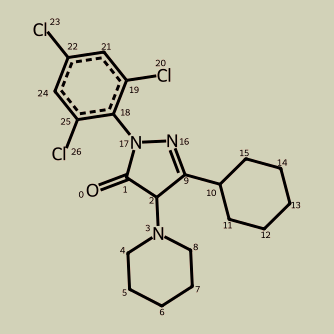 O=C1C(N2CCCCC2)C(C2CCCCC2)=NN1c1c(Cl)cc(Cl)cc1Cl